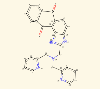 O=C1c2ccccc2C(=O)c2c1ccc1nc(CN(Cc3ccccn3)Cc3ccccn3)[nH]c21